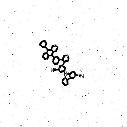 N#Cc1cc(-c2ccccc2-c2cccc(-c3c4ccccc4c(-c4ccccc4)c4ccccc34)c2)cc(-n2c3ccccc3c3cc(C#N)ccc32)c1